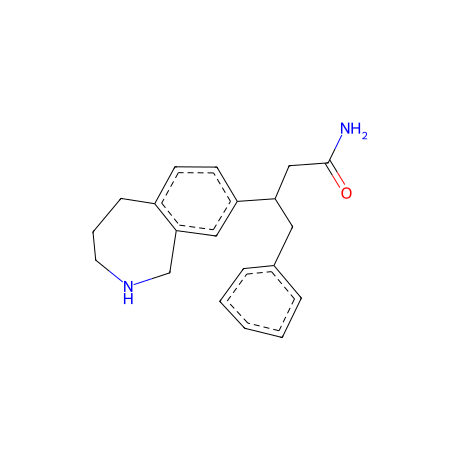 NC(=O)CC(Cc1ccccc1)c1ccc2c(c1)CNCCC2